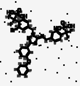 O=P(O)(O)C(F)(F)c1ccc(CN=c2sc(-c3cccc(Oc4ccccc4)c3)nn2Cc2ccc(C(F)(F)P(=O)(O)O)c(Br)c2)cc1